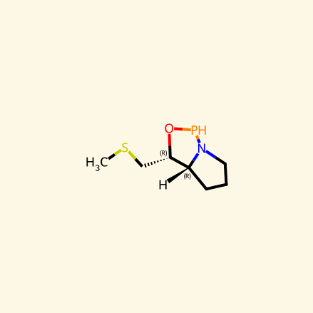 CSC[C@@H]1OPN2CCC[C@H]12